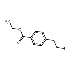 CCOC(=O)c1ccc(CCI)cc1